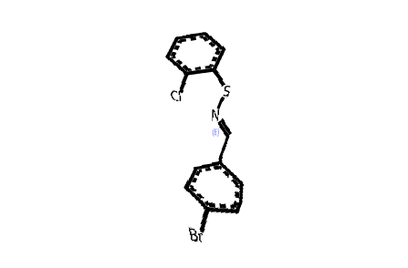 Clc1ccccc1S/N=C/c1ccc(Br)cc1